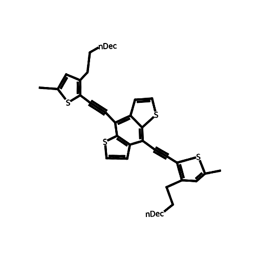 CCCCCCCCCCCCc1cc(C)sc1C#Cc1c2ccsc2c(C#Cc2sc(C)cc2CCCCCCCCCCCC)c2ccsc12